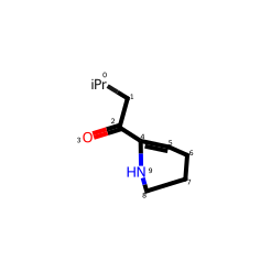 CC(C)CC(=O)C1=CCCCN1